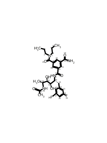 CCCN(CCC)C(=O)c1cc(C(N)=O)cc(C(=O)N[C@H](Cc2cc(F)cc(F)c2)[C@@H](O)[C@H](O)[C@H](C)NC(C)=O)c1